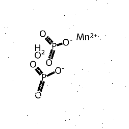 O.O=P(=O)[O-].O=P(=O)[O-].[Mn+2]